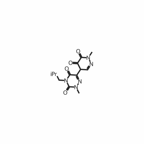 CC(C)Cn1c(=O)c(C2C=NN(C)C(=O)C2=O)nn(C)c1=O